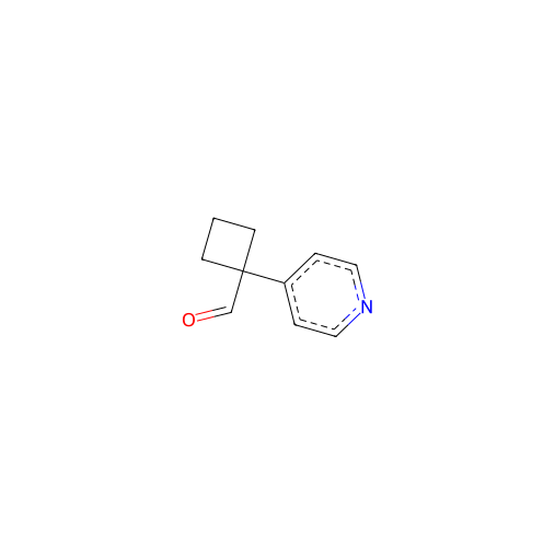 O=CC1(c2ccncc2)CCC1